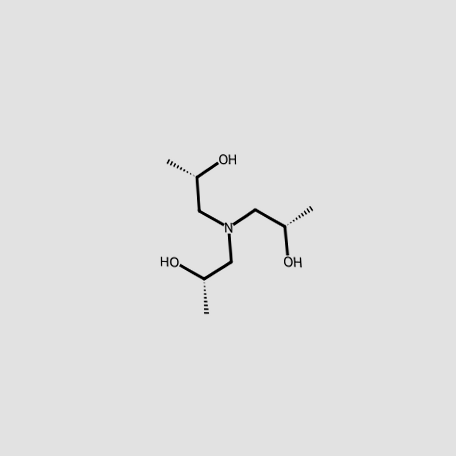 C[C@H](O)CN(C[C@H](C)O)C[C@H](C)O